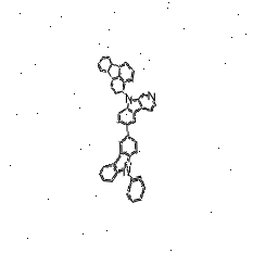 c1ccc(-n2c3ccccc3c3cc(-c4ccc5c(c4)c4ccncc4n5-c4ccc5c6c(cccc46)-c4ccccc4-5)ccc32)cc1